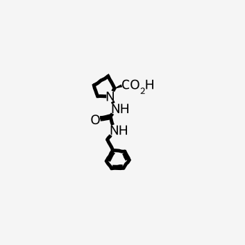 O=C(NCc1ccccc1)NN1CCC[C@H]1C(=O)O